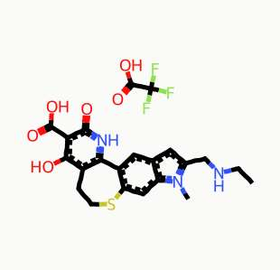 CCNCc1cc2cc3c(cc2n1C)SCCc1c-3[nH]c(=O)c(C(=O)O)c1O.O=C(O)C(F)(F)F